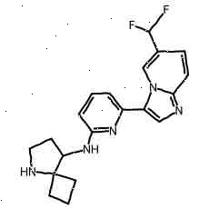 FC(F)c1ccc2ncc(-c3cccc(NC4CCNC45CCC5)n3)n2c1